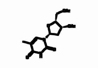 CC(=O)OC[C@H]1O[C@@H](n2cc(C)c(=O)[nH]c2=O)C[C@H]1OC(C)=O